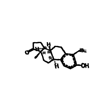 CCC(C)c1c(O)ccc2c1CC[C@@H]1[C@@H]2CC[C@]2(C)C(=O)CC[C@@H]12